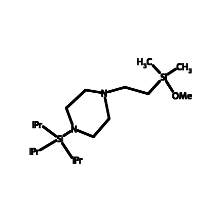 CO[Si](C)(C)CCN1CCN([Si](C(C)C)(C(C)C)C(C)C)CC1